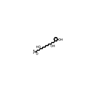 CN(C)C(=O)CCC(O)C=CC=CC=CC(O)CCc1cccc(O)c1